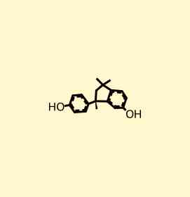 CC1(C)C[C@@](C)(c2ccc(O)cc2)c2cc(O)ccc21